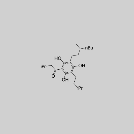 CCCCC(C)CCc1c(O)c(CCC(C)C)c(O)c(C(=O)CC(C)C)c1O